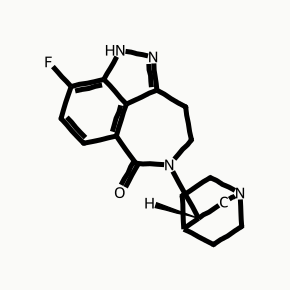 O=C1c2ccc(F)c3[nH]nc(c23)CCN1[C@@H]1CN2CCC1CC2